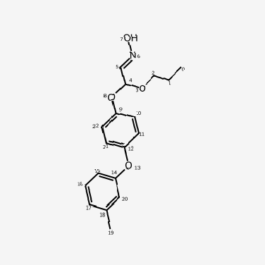 CCCOC(C=NO)Oc1ccc(Oc2cccc(C)c2)cc1